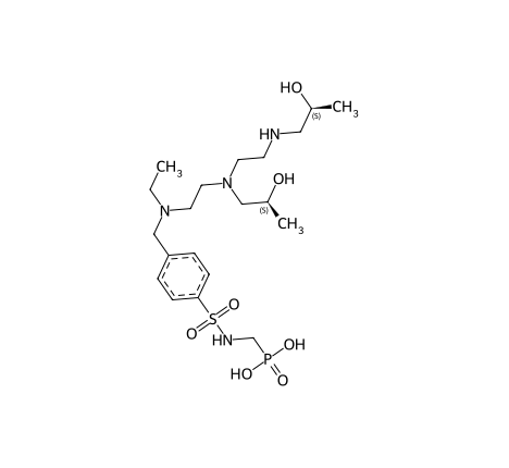 CCN(CCN(CCNC[C@H](C)O)C[C@H](C)O)Cc1ccc(S(=O)(=O)NCP(=O)(O)O)cc1